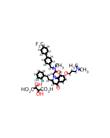 CN(C)CCCOc1ccc2c(=O)cc(CCc3cccc(F)c3F)n(CC(=O)N(C)Cc3ccc(-c4ccc(C(F)(F)F)cc4)cc3)c2c1.O=C(O)C(O)C(O)C(=O)O